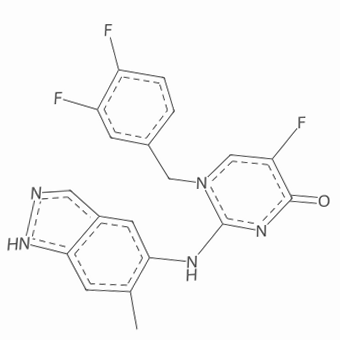 Cc1cc2[nH]ncc2cc1Nc1nc(=O)c(F)cn1Cc1ccc(F)c(F)c1